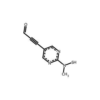 CN(S)c1ncc(C#CC=O)cn1